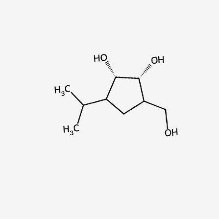 CC(C)C1CC(CO)[C@@H](O)[C@H]1O